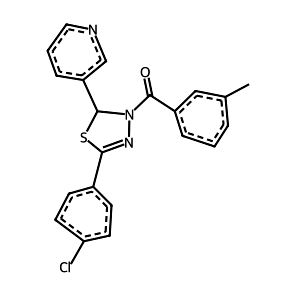 Cc1cccc(C(=O)N2N=C(c3ccc(Cl)cc3)SC2c2cccnc2)c1